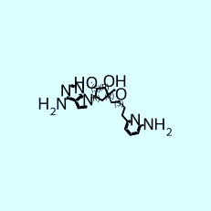 Nc1cccc(CC[C@H]2C[C@@]3(CO2)C[C@@H](n2ccc4c(N)ncnc42)[C@H](O)[C@@H]3O)n1